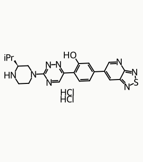 CC(C)[C@H]1CN(c2ncc(-c3ccc(-c4cnc5nsnc5c4)cc3O)nn2)CCN1.Cl.Cl